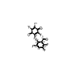 O=C1C(F)=C(F)C(=O)C(F)=C1F.O=Cc1c(F)c(F)cc(F)c1F